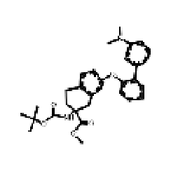 COC(=O)C1(NC(=O)OC(C)(C)C)CCc2ccc(Oc3ccccc3-c3cccc(N(C)C)c3)cc2C1